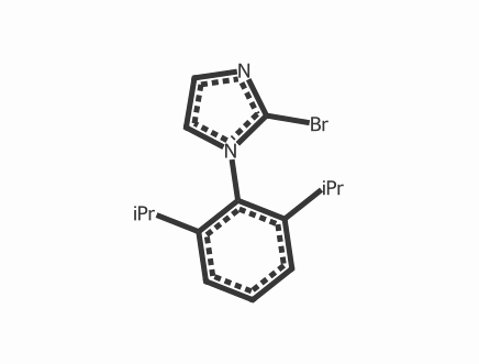 CC(C)c1cccc(C(C)C)c1-n1ccnc1Br